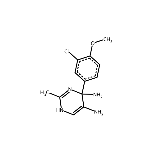 COc1ccc(C2(N)N=C(C)NC=C2N)cc1Cl